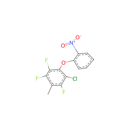 Cc1c(F)c(F)c(Oc2ccccc2[N+](=O)[O-])c(Cl)c1F